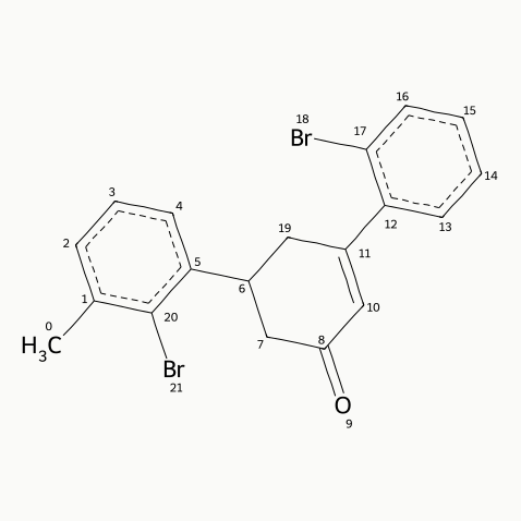 Cc1cccc(C2CC(=O)C=C(c3ccccc3Br)C2)c1Br